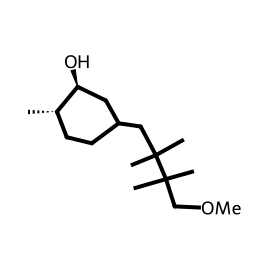 COCC(C)(C)C(C)(C)CC1CC[C@H](C)[C@@H](O)C1